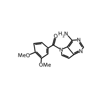 COc1ccc(C(=O)n2ccc3ncnc(N)c32)cc1OC